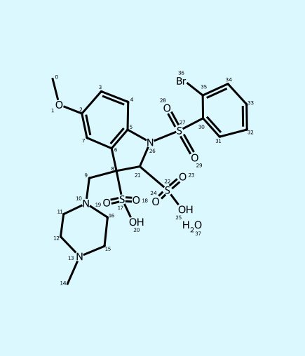 COc1ccc2c(c1)C(CN1CCN(C)CC1)(S(=O)(=O)O)C(S(=O)(=O)O)N2S(=O)(=O)c1ccccc1Br.O